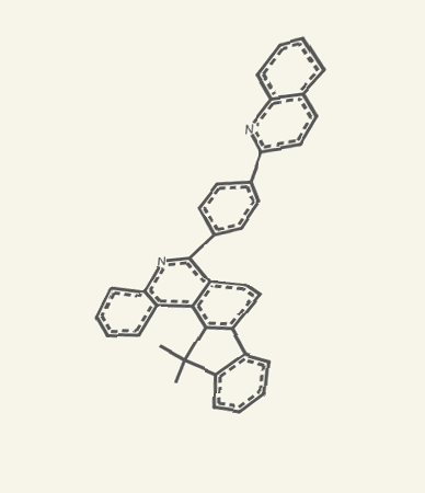 CC1(C)c2ccccc2-c2ccc3c(-c4ccc(-c5ccc6ccccc6n5)cc4)nc4ccccc4c3c21